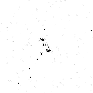 P.[Mn].[SiH4].[Ti]